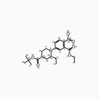 CCOC(=O)c1cc(N2CCN(C(=O)OC(C)(C)C)C[C@@H]2CC)ccc1[N+](=O)[O-]